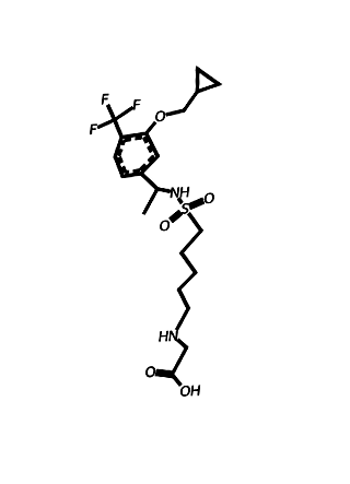 CC(NS(=O)(=O)CCCCCNCC(=O)O)c1ccc(C(F)(F)F)c(OCC2CC2)c1